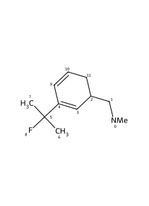 CNCC1C=C(C(C)(C)F)C=CC1